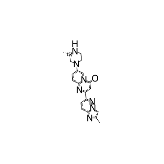 Cc1cn2nc(-c3cc(=O)n4cc(N5CCN[C@@H](C)C5)ccc4n3)ccc2n1